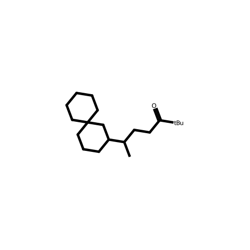 CC(CCC(=O)C(C)(C)C)C1CCCC2(CCCCC2)C1